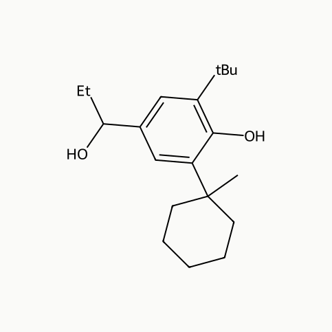 CCC(O)c1cc(C(C)(C)C)c(O)c(C2(C)CCCCC2)c1